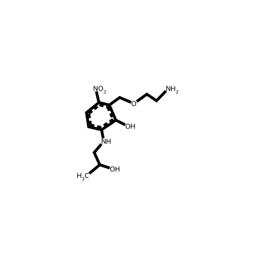 CC(O)CNc1ccc([N+](=O)[O-])c(COCCN)c1O